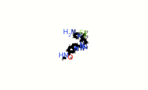 CCNC(=O)c1ccc2ccc(-c3nnc4ccc([C@@H](N5CC[C@H](N)C5)C(F)(F)F)cn34)nc2c1